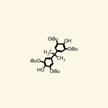 CC(C)COc1cc(C(C)(C)c2cc(OCC(C)C)c(O)c(OCC(C)C)c2)cc(OCC(C)C)c1O